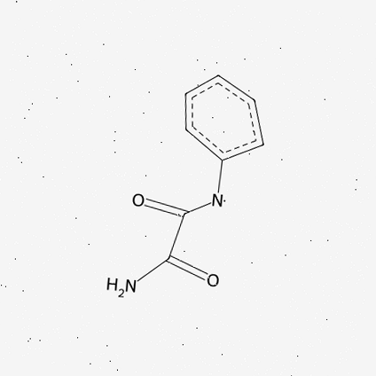 NC(=O)C(=O)[N]c1ccccc1